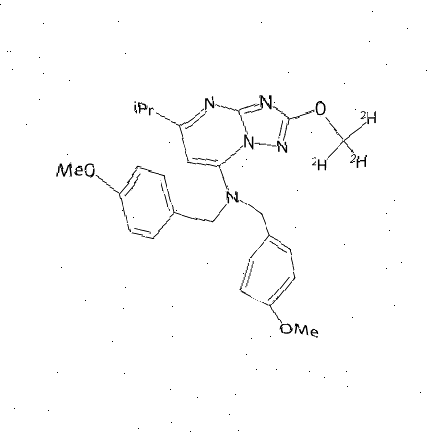 [2H]C([2H])([2H])Oc1nc2nc(C(C)C)cc(N(Cc3ccc(OC)cc3)Cc3ccc(OC)cc3)n2n1